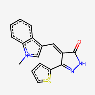 Cn1cc(C=C2C(=O)NN=C2c2cccs2)c2ccccc21